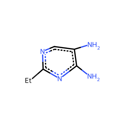 CCc1ncc(N)c(N)n1